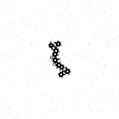 Cc1ccccc1N(c1ccc2cc3c(cc2c1)oc1cc2oc4cc5cc(N(c6ccccc6C)c6ccccc6C)ccc5cc4c2c(C)c13)c1ccccc1C